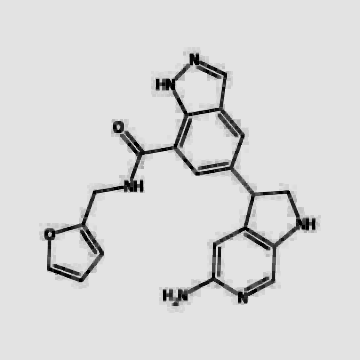 Nc1cc2c(cn1)NCC2c1cc(C(=O)NCc2ccco2)c2[nH]ncc2c1